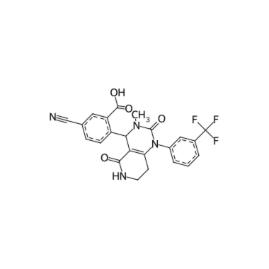 CN1C(=O)N(c2cccc(C(F)(F)F)c2)C2=C(C(=O)NCC2)C1c1ccc(C#N)cc1C(=O)O